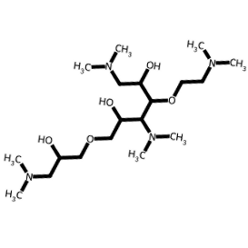 CN(C)CCOC(C(O)CN(C)C)C(C(O)COCC(O)CN(C)C)N(C)C